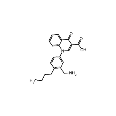 CCCCc1ccc(-n2cc(C(=O)O)c(=O)c3ccccc32)cc1CN